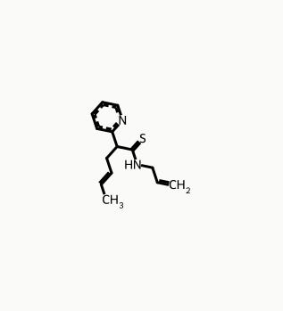 C=CCNC(=S)C(CC=CC)c1ccccn1